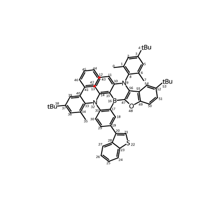 Cc1cc(C(C)(C)C)cc(C)c1N1c2cccc3c2B(c2cc(-c4csc5ccccc45)ccc2N3c2c(C)cc(C(C)(C)C)cc2-c2ccccc2)c2oc3ccc(C(C)(C)C)cc3c21